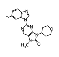 Cn1c(=O)n(C2CCOCC2)c2nc(-n3cnc4ccc(F)cc43)ncc21